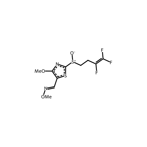 CON=Cc1sc([S+]([O-])CCC(F)=C(F)F)nc1OC